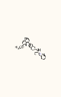 COc1ccc2nccc(-n3cc4c(n3)CCC(NC(=O)/C=C/c3ccccn3)C4)c2n1